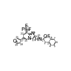 O=C(Cc1ccccc1F)NCc1cn2cc(-c3ccoc3)cc(C(F)(F)F)c2n1